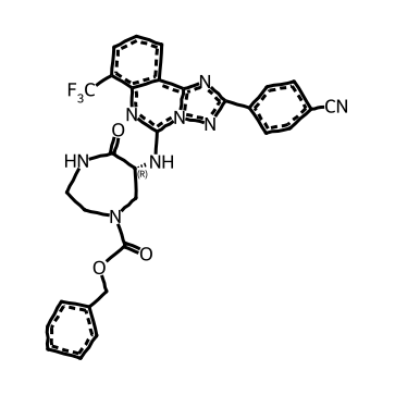 N#Cc1ccc(-c2nc3c4cccc(C(F)(F)F)c4nc(N[C@@H]4CN(C(=O)OCc5ccccc5)CCNC4=O)n3n2)cc1